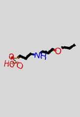 CCCOCCCNCCCS(=O)(=O)O